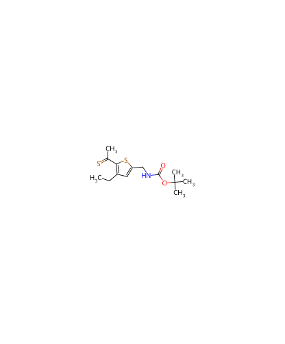 CCc1cc(CNC(=O)OC(C)(C)C)sc1C(C)=S